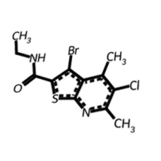 CCNC(=O)c1sc2nc(C)c(Cl)c(C)c2c1Br